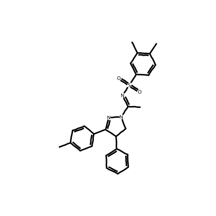 C/C(=N\S(=O)(=O)c1ccc(C)c(C)c1)N1CC(c2ccccc2)C(c2ccc(C)cc2)=N1